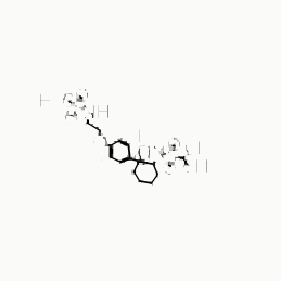 CC(C)S(=O)(=O)NC1CCCCC1(O)c1ccc(OCCNS(C)(=O)=O)cc1